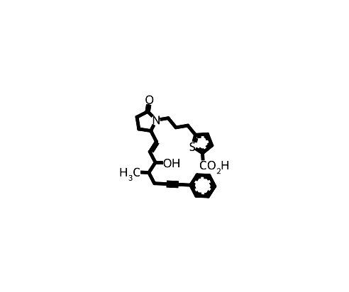 CC(CC#Cc1ccccc1)C(O)/C=C/C1CCC(=O)N1CCCc1ccc(C(=O)O)s1